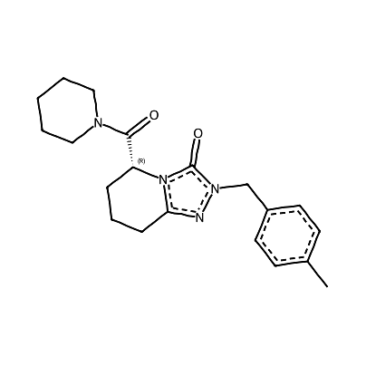 Cc1ccc(Cn2nc3n(c2=O)[C@@H](C(=O)N2CCCCC2)CCC3)cc1